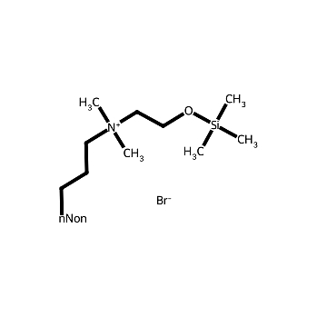 CCCCCCCCCCCC[N+](C)(C)CCO[Si](C)(C)C.[Br-]